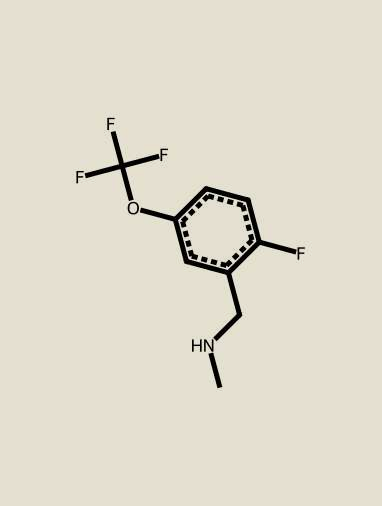 CNCc1cc(OC(F)(F)F)ccc1F